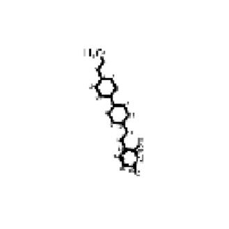 CCCC1CCC(C2CCC(CCc3ccc(F)nc3F)CC2)CC1